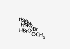 Br.Cc1cccc(C(=O)C(Br)c2ccnc(NC(=O)OC(C)(C)C)c2)c1